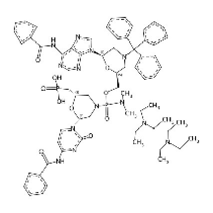 CCN(CC)CC.CCN(CC)CC.CN(C)P(=O)(OC[C@@H]1CN(C(c2ccccc2)(c2ccccc2)c2ccccc2)C[C@H](n2cnc3c(NC(=O)c4ccccc4)ncnc32)O1)N1C[C@@H](CP(=O)(O)O)O[C@@H](n2ccc(NC(=O)c3ccccc3)nc2=O)C1